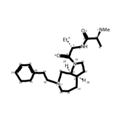 CC[C@H](NC(=O)[C@H](C)NC)C(=O)N1CC[C@H]2CCCN(CCC3=CC=CCC3)C[C@H]21